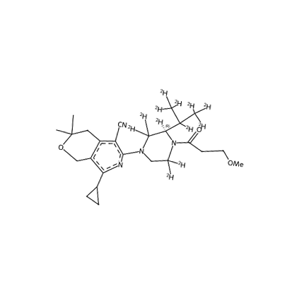 [2H]C1([2H])CN(c2nc(C3CC3)c3c(c2C#N)CC(C)(C)OC3)C([2H])([2H])[C@@]([2H])(C([2H])(C([2H])([2H])[2H])C([2H])([2H])[2H])N1C(=O)CCOC